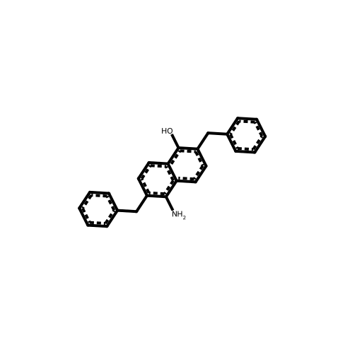 Nc1c(Cc2ccccc2)ccc2c(O)c(Cc3ccccc3)ccc12